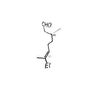 CC/C(C)=C/CC[C@@H](C)CC=O